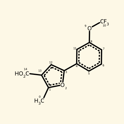 Cc1oc(-c2cccc(OC(F)(F)F)c2)cc1C(=O)O